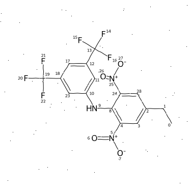 CCc1cc([N+](=O)[O-])c(Nc2cc(C(F)(F)F)cc(C(F)(F)F)c2)c([N+](=O)[O-])c1